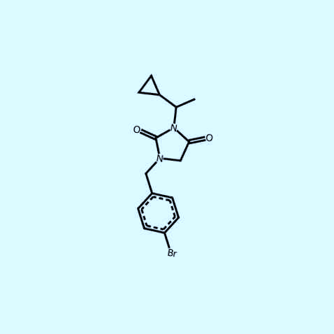 CC(C1CC1)N1C(=O)CN(Cc2ccc(Br)cc2)C1=O